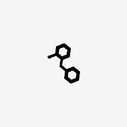 [O]c1ccccc1Cc1ccccc1